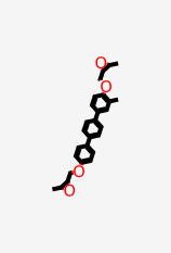 Cc1cc(-c2ccc(-c3ccc(OCC4OC4C)cc3)cc2)ccc1OCC1OC1C